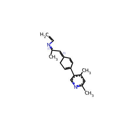 C=C/N=C(C)\C=C1\C=CC(c2cnc(C)cc2C)=CC1